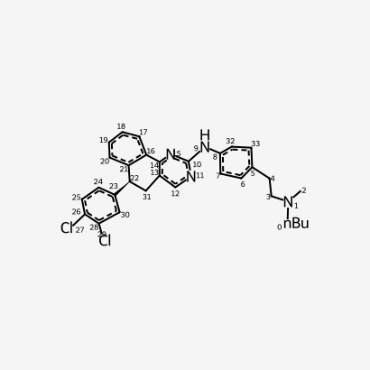 CCCCN(C)CCc1ccc(Nc2ncc3c(n2)-c2ccccc2[C@H](c2ccc(Cl)c(Cl)c2)C3)cc1